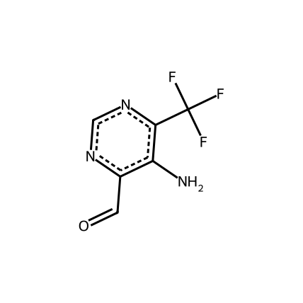 Nc1c(C=O)ncnc1C(F)(F)F